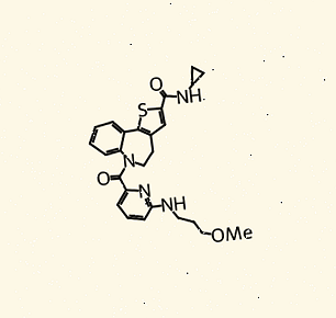 COCCCNc1cccc(C(=O)N2CCc3cc(C(=O)NC4CC4)sc3-c3ccccc32)n1